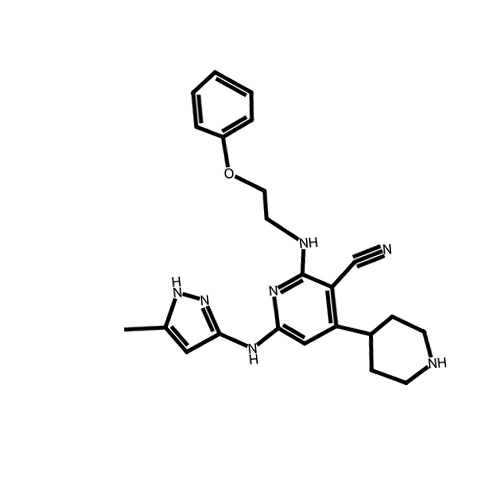 Cc1cc(Nc2cc(C3CCNCC3)c(C#N)c(NCCOc3ccccc3)n2)n[nH]1